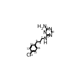 Nc1ncnc(NCCCc2ccc(Cl)cc2)n1